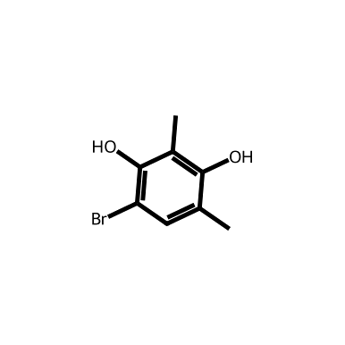 Cc1cc(Br)c(O)c(C)c1O